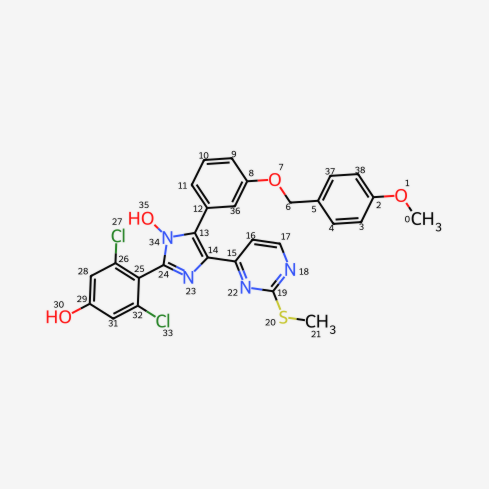 COc1ccc(COc2cccc(-c3c(-c4ccnc(SC)n4)nc(-c4c(Cl)cc(O)cc4Cl)n3O)c2)cc1